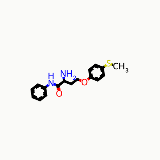 CSc1ccc(OCCC(N)C(=O)Nc2ccccc2)cc1